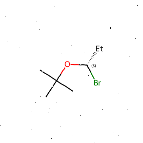 CC[C@H](Br)OC(C)(C)C